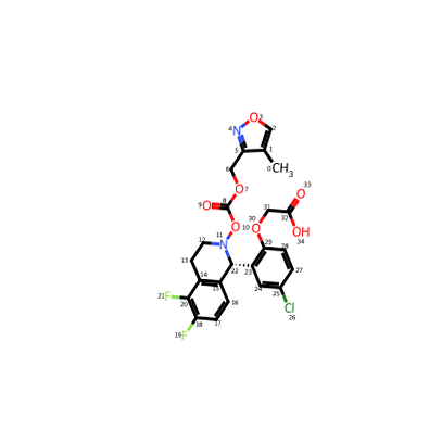 Cc1conc1COC(=O)ON1CCc2c(ccc(F)c2F)[C@H]1c1cc(Cl)ccc1OCC(=O)O